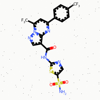 NS(=O)(=O)c1cnc(NC(=O)c2cnn3c(C(F)(F)F)cc(-c4ccc(C(F)(F)F)cc4)nc23)s1